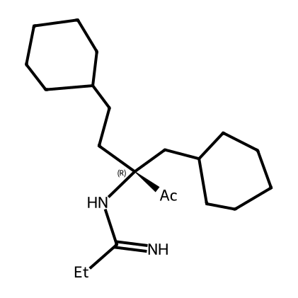 CCC(=N)N[C@](CCC1CCCCC1)(CC1CCCCC1)C(C)=O